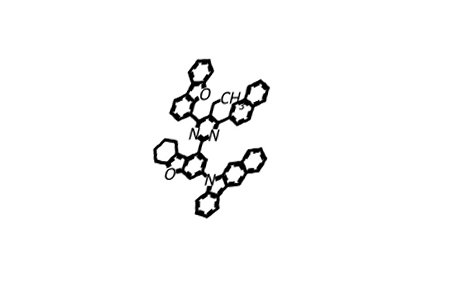 CCc1c(-c2ccc3ccccc3c2)nc(-c2cc(-n3c4ccccc4c4cc5ccccc5cc43)cc3oc4c(c23)CCCC4)nc1-c1cccc2c1oc1ccccc12